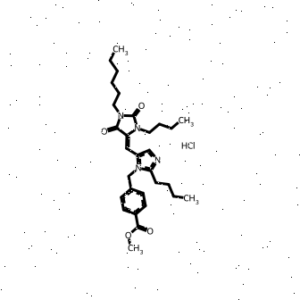 CCCCCCN1C(=O)C(=Cc2cnc(CCCC)n2Cc2ccc(C(=O)OC)cc2)N(CCCC)C1=O.Cl